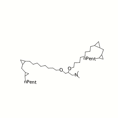 CCCCCC1CC1CC1CC1CCCCCCCCOCC(CN(C)C)OCCCCCCCCC1CC1CC1CC1CCCCC